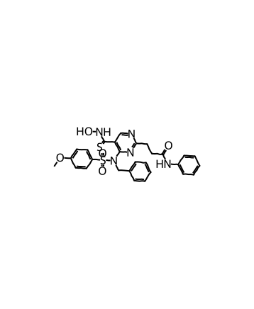 COc1ccc(S(=O)(=O)N(Cc2ccccc2)c2nc(CCC(=O)Nc3ccccc3)ncc2C(=S)NO)cc1